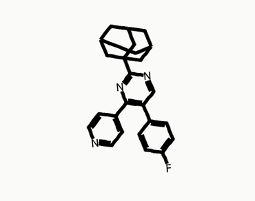 Fc1ccc(-c2cnc(C34CC5CC(CC(C5)C3)C4)nc2-c2ccncc2)cc1